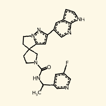 CC(NC(=O)N1CCC2(CCn3nc(-c4cnc5[nH]ccc5c4)cc32)C1)c1cncc(F)c1